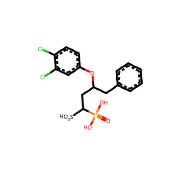 O=P(O)(O)C(CC(Cc1ccccc1)Oc1ccc(Cl)c(Cl)c1)S(=O)(=O)O